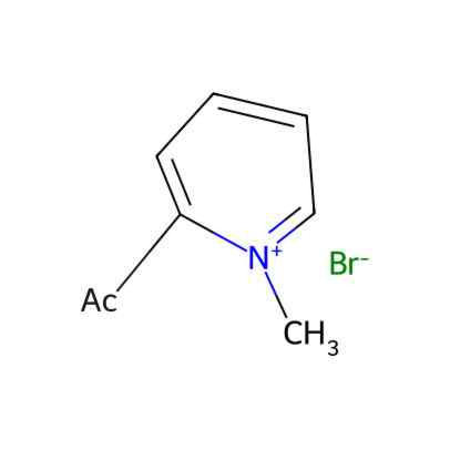 CC(=O)c1cccc[n+]1C.[Br-]